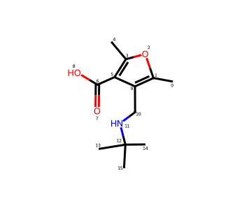 Cc1oc(C)c(C(=O)O)c1CNC(C)(C)C